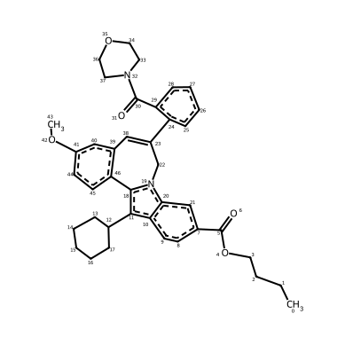 CCCCOC(=O)c1ccc2c(C3CCCCC3)c3n(c2c1)CC(c1ccccc1C(=O)N1CCOCC1)=Cc1cc(OC)ccc1-3